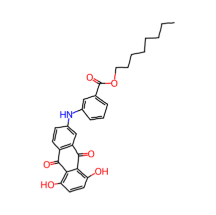 CCCCCCCCOC(=O)c1cccc(Nc2ccc3c(c2)C(=O)c2c(O)ccc(O)c2C3=O)c1